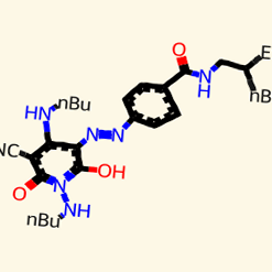 CCCCNc1c(/N=N/c2ccc(C(=O)NCC(CC)CCCC)cc2)c(O)n(NCCCC)c(=O)c1C#N